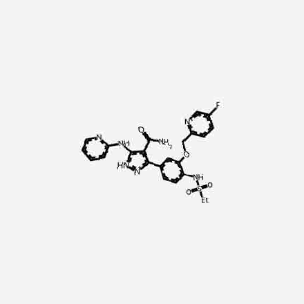 CCS(=O)(=O)Nc1ccc(-c2n[nH]c(Nc3ccccn3)c2C(N)=O)cc1OCc1ccc(F)cn1